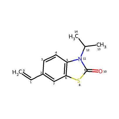 C=Cc1ccc2c(c1)sc(=O)n2C(C)C